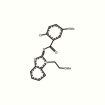 COCCn1c(=NC(=O)c2cc(SC)ccc2Cl)sc2ccccc21